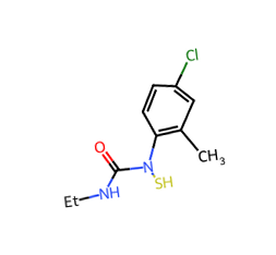 CCNC(=O)N(S)c1ccc(Cl)cc1C